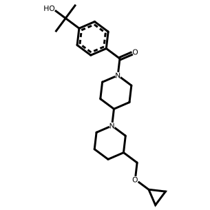 CC(C)(O)c1ccc(C(=O)N2CCC(N3CCCC(COC4CC4)C3)CC2)cc1